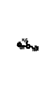 C=CCc1cc(CCc2nnn[nH]2)ccc1C#CC1(O)CN2CCC1CC2